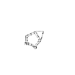 c1noc2c1C2